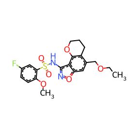 CCOCc1cc2onc(NS(=O)(=O)c3cc(F)ccc3OC)c2c2c1CCCO2